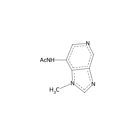 CC(=O)Nc1cncc2ncn(C)c12